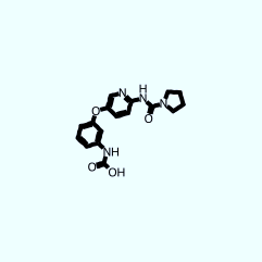 O=C(O)Nc1cccc(Oc2ccc(NC(=O)N3CCCC3)nc2)c1